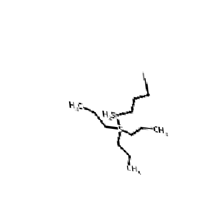 CCCS(CCC)(CCC)[SiH2]CCCI